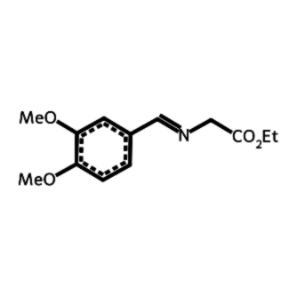 CCOC(=O)CN=Cc1ccc(OC)c(OC)c1